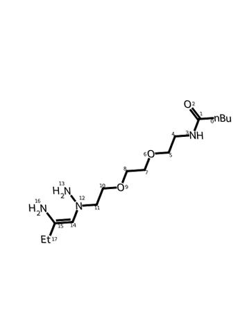 CCCCC(=O)NCCOCCOCCN(N)/C=C(\N)CC